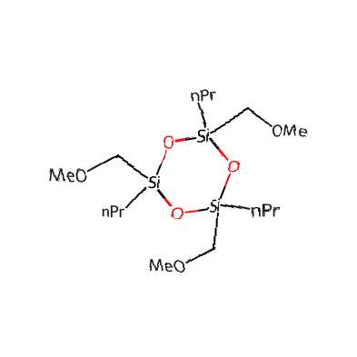 CCC[Si]1(COC)O[Si](CCC)(COC)O[Si](CCC)(COC)O1